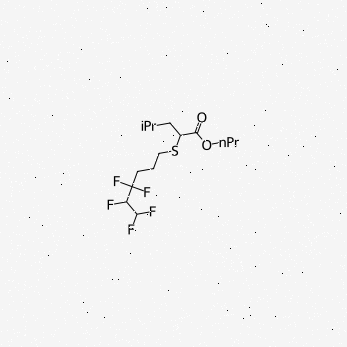 CCCOC(=O)C(CC(C)C)SCCCC(F)(F)C(F)C(F)F